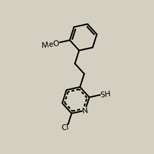 COC1=CC=CCC1CCc1ccc(Cl)nc1S